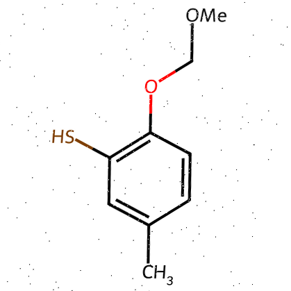 COCOc1ccc(C)cc1S